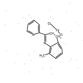 CC(=Nc1c(C)cccc1C)c1ccccn1.[Cl][Fe][Cl]